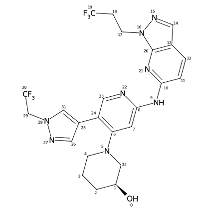 O[C@H]1CCCN(c2cc(Nc3ccc4cnn(CCC(F)(F)F)c4n3)ncc2-c2cnn(CC(F)(F)F)c2)C1